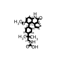 COc1ccc2[nH]c(=O)c3sccc3c2c1-c1ccc(C(C)(C)CNC(=O)O)cc1